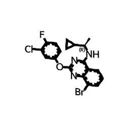 C[C@@H](Nc1nc(Oc2ccc(F)c(Cl)c2)nc2c(Br)cccc12)C1CC1